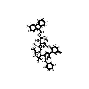 COC(C)C(=O)N(CCC(NC(=O)OCC1c2ccccc2-c2ccccc21)C(=O)O)C(c1cc(-c2cc(F)ccc2F)cn1Cc1ccccc1)C(C)(C)C